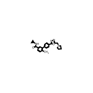 Cc1ccc(C(=O)NC2CC2)cc1-c1ccc(-c2nnc(CN3CCCC3)o2)cc1